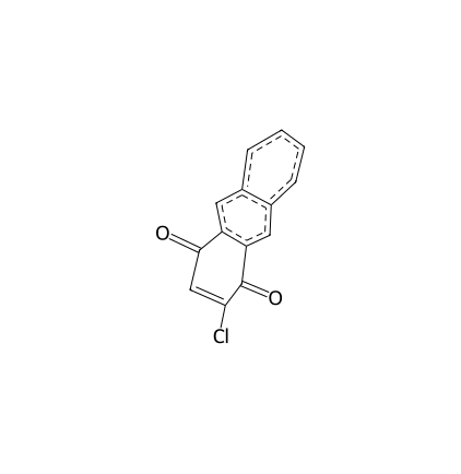 O=C1C=C(Cl)C(=O)c2cc3ccccc3cc21